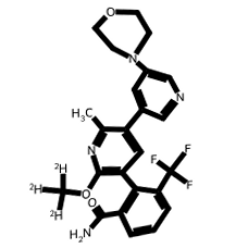 [2H]C([2H])([2H])Oc1nc(C)c(-c2cncc(N3CCOCC3)c2)cc1-c1c(C(N)=O)cccc1C(F)(F)F